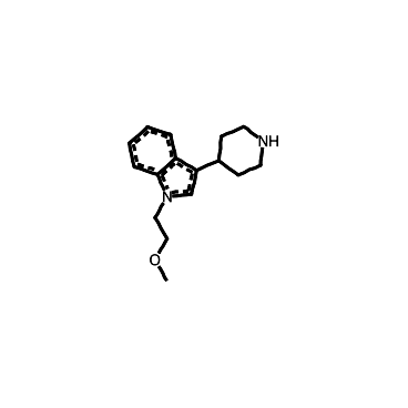 COCCn1cc(C2CCNCC2)c2ccccc21